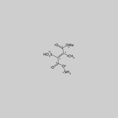 COC(=O)/C(C)=C(/C(=O)O[SiH3])S(=O)(=O)O